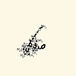 CCC1CC(C(=O)NCCNC(=O)CCOCCOCCN)C[C@@H](O[C@@H]2OC(COC(C)=O)[C@@H]3OC[C@@H](CC4CCCCC4)OC3C2NC(C)=O)C1O[C@@H]1OC(C)[C@@H](OC(C)=O)C(OC(C)=O)C1OC(C)=O